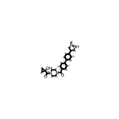 CN1CC(c2ccc(-c3ccc(C(=O)N4CCN(C(=O)C5(O)CC5)CC4)cc3)cc2)CN1